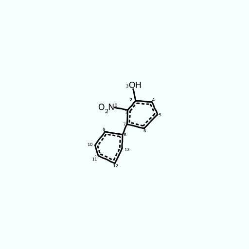 O=[N+]([O-])c1c(O)cccc1-c1cc[c]cc1